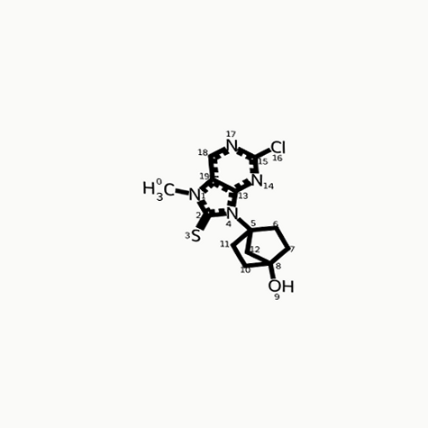 Cn1c(=S)n(C23CCC(O)(CC2)C3)c2nc(Cl)ncc21